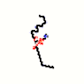 CC/C=C\C/C=C\C/C=C\C/C=C\C/C=C\C/C=C\CCC(=O)O[C@H](COC(=O)CCCCCCCCC/C=C\CCCCCC)COP(=O)(O)OCC[N+](C)(C)C